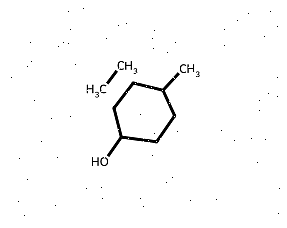 CC.CC1CCC(O)CC1